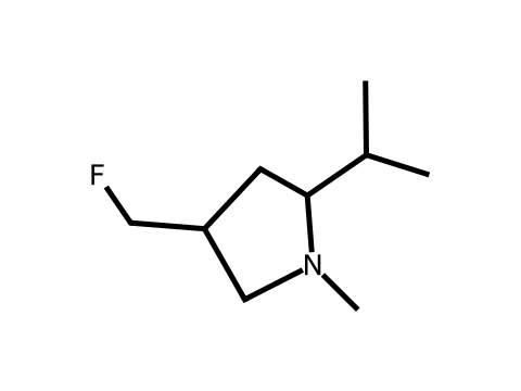 CC(C)C1CC(CF)CN1C